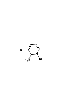 NC1C(Br)=CC=CN1N